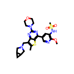 COc1ncc(-c2nc(N3CCOCC3)nc3c(CN4CC5CC5C4)c(C)sc23)cc1NS(C)(=O)=O